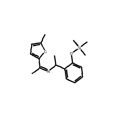 CC(=NC(C)c1ccccc1O[Si](C)(C)C)c1ccc(C)o1